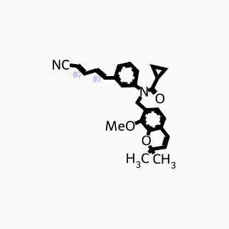 COc1c(CN(C(=O)C2CC2)c2cccc(/C=C/C=C/C#N)c2)ccc2c1OC(C)(C)C=C2